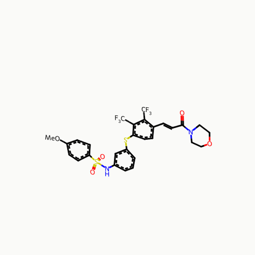 COc1ccc(S(=O)(=O)Nc2cccc(Sc3ccc(C=CC(=O)N4CCOCC4)c(C(F)(F)F)c3C(F)(F)F)c2)cc1